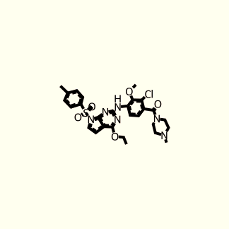 CCOc1nc(Nc2ccc(C(=O)N3CCN(C)CC3)c(Cl)c2OC)nc2c1ccn2S(=O)(=O)c1ccc(C)cc1